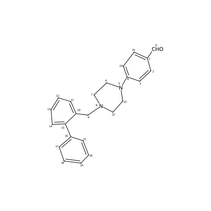 O=Cc1ccc(N2CCN(Cc3ccccc3-c3ccccc3)CC2)cc1